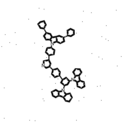 c1ccc(-c2ccc3c(c2)c2cc(-c4ccccc4)ccc2n3-c2ccc(-c3cncc(-c4ccc(-c5cc(-n6c7ccccc7c7ccccc76)cc(-n6c7ccccc7c7ccccc76)c5)cc4)c3)cc2)cc1